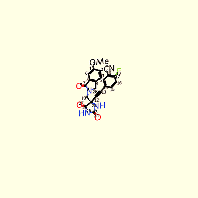 COc1ccc2c(c1)C(=O)N(C[C@@]1(C#Cc3ccc(F)c(C#N)c3)NC(=O)NC1=O)C2